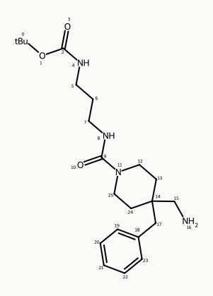 CC(C)(C)OC(=O)NCCCNC(=O)N1CCC(CN)(Cc2ccccc2)CC1